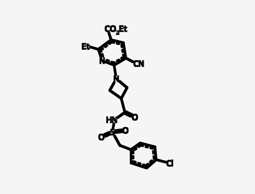 CCOC(=O)c1cc(C#N)c(N2CC(C(=O)NS(=O)(=O)Cc3ccc(Cl)cc3)C2)nc1CC